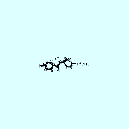 CCCCCC1CCC(/C(F)=C(\F)c2ccc(F)cc2)=CO1